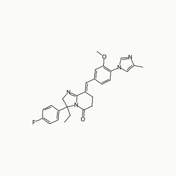 CCC1(c2ccc(F)cc2)CN=C2/C(=C/c3ccc(-n4cnc(C)c4)c(OC)c3)CCC(=O)N21